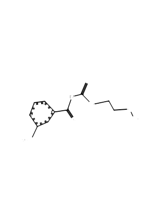 COc1[c]ccc(C(=N)NC(=O)OCCOC(C)(C)C)c1